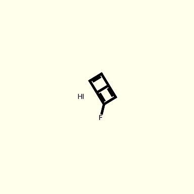 Fc1cc2ccc1-2.I